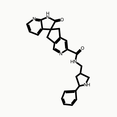 O=C(NCC1CNC(c2ccccc2)C1)c1cc2c(cn1)CC1(C2)C(=O)Nc2ncccc21